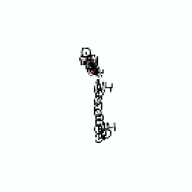 C[C@]12C[C@@H]3O[C@]45C=CC(=O)C=C4[C@@H](F)C[C@@H](C1C[C@H]1O[C@@H](c4ccc(Cc6cccc(NC(=O)CCOCCOCCOCCOCCOCCOCCNC(=O)CCN7C(=O)C=CC7=O)c6)cc4)O[C@]12C(=O)CO)C35